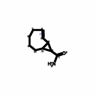 NC(=O)C1C2/C=C/CCCCC21